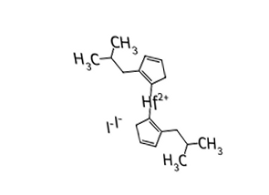 CC(C)CC1=[C]([Hf+2][C]2=C(CC(C)C)C=CC2)CC=C1.[I-].[I-]